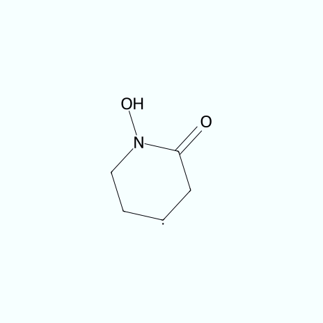 O=C1C[CH]CCN1O